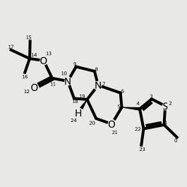 Cc1scc([C@@H]2CN3CCN(C(=O)OC(C)(C)C)C[C@H]3CO2)c1C